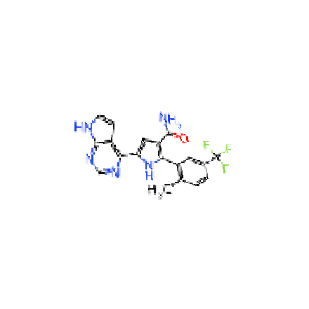 Cc1ccc(C(F)(F)F)cc1-c1[nH]c(-c2ncnc3[nH]ccc23)cc1C(N)=O